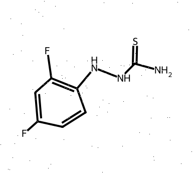 NC(=S)NNc1ccc(F)cc1F